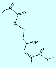 C=C(C)C(=O)OCCC(O)C=C(C)C(=O)OC